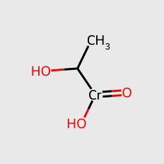 C[CH](O)[Cr](=[O])[OH]